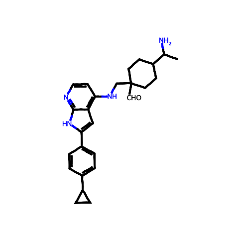 CC(N)C1CCC(C=O)(CNc2ccnc3[nH]c(-c4ccc(C5CC5)cc4)cc23)CC1